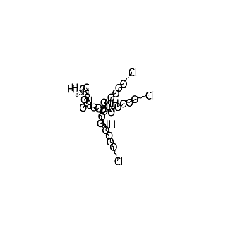 CCN(CC)c1ccc2nc3c4cc(OCC(=O)CC(COCCC(=O)NCCOCCOCCOCCOCCCCCCCl)(COCCC(=O)NCCOCCOCCOCCOCCCCCCCl)COCCC(=O)NCCOCCOCCOCCOCCCCCCCl)ccc4c(=O)cc-3oc2c1